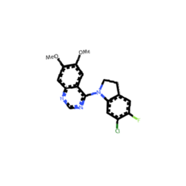 COc1cc2ncnc(N3CCc4cc(F)c(Cl)cc43)c2cc1OC